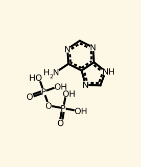 Nc1ncnc2[nH]cnc12.O=P(O)(O)OP(=O)(O)O